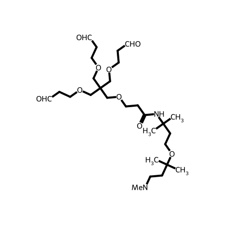 CNCCC(C)(C)OCCC(C)(C)NC(=O)CCOCC(COCCC=O)(COCCC=O)COCCC=O